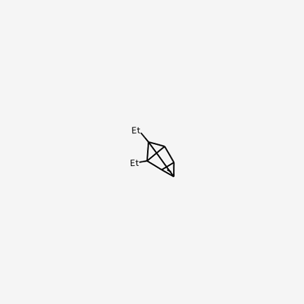 CCC12C3=C4C3C1C42CC